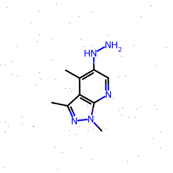 Cc1nn(C)c2ncc(NN)c(C)c12